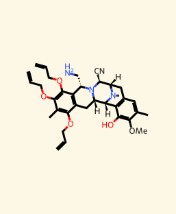 C=CCOc1c(C)c(OCC=C)c(OCC=C)c2c1C[C@H]1[C@H]3c4c(cc(C)c(OC)c4O)C[C@@H]([C@H](C#N)N1[C@H]2CN)N3C